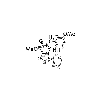 COc1ccc(Nc2nc(=O)c(OC)c3n2C(c2ccccc2)CC3)c(C)c1